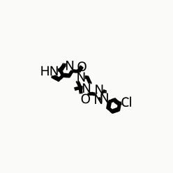 CC1(C)CN(C(=O)c2cc3cc[nH]c3cn2)CCN1C(=O)c1ncn(-c2cccc(Cl)c2)n1